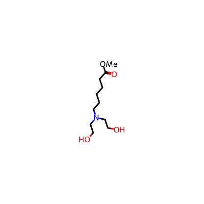 COC(=O)CCCCCN(CCO)CCO